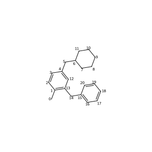 Cc1ccc(CC2CCCCC2)cc1Cc1ccccc1